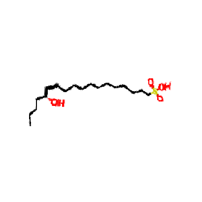 CCCC[C@@H](O)/C=C\CCCCCCCCCCCS(=O)(=O)O